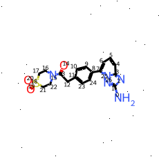 Nc1nc2cccc(-c3ccc(CC(=O)N4CCS(=O)(=O)CC4)cc3)n2n1